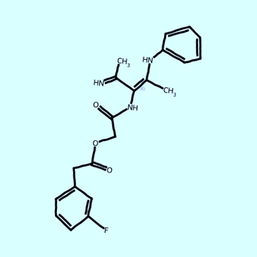 CC(=N)/C(NC(=O)COC(=O)Cc1cccc(F)c1)=C(/C)Nc1ccccc1